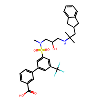 CN(CC(O)CNC(C)(C)CC1Cc2ccccc2C1)S(=O)(=O)c1cc(-c2cccc(C(=O)O)c2)cc(C(F)(F)F)c1